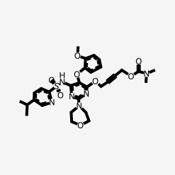 COc1ccccc1Oc1c(NS(=O)(=O)c2ccc(C(C)C)cn2)nc(N2CCOCC2)nc1OCC#CCOC(=O)N(C)C